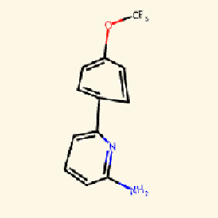 Nc1cccc(-c2ccc(OC(F)(F)F)cc2)n1